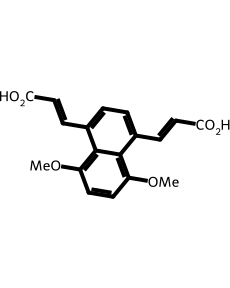 COc1ccc(OC)c2c(C=CC(=O)O)ccc(C=CC(=O)O)c12